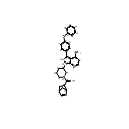 Nc1ncnc2c1c(-c1ccc(Oc3ccccc3)cc1)nn2C1CCCN(C(=O)C2CC3C=CC2C3)C1